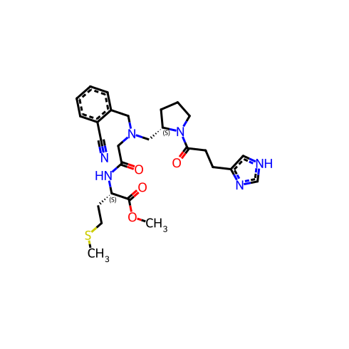 COC(=O)[C@H](CCSC)NC(=O)CN(Cc1ccccc1C#N)C[C@@H]1CCCN1C(=O)CCc1c[nH]cn1